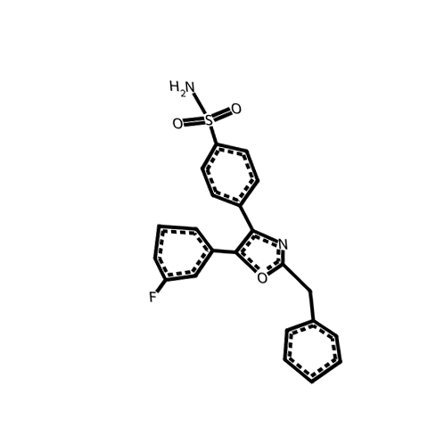 NS(=O)(=O)c1ccc(-c2nc(Cc3ccccc3)oc2-c2cccc(F)c2)cc1